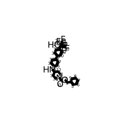 O=C(OCc1ccccc1)N1CCC(Nc2ccc(-c3ccc(C(O)(C(F)(F)F)C(F)(F)F)cc3)cc2)CC1